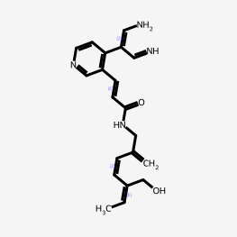 C=C(/C=C\C(=C/C)CO)CNC(=O)/C=C/c1cnccc1/C(C=N)=C/N